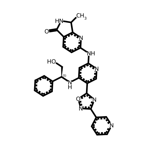 CC1NC(=O)c2ccc(Nc3cc(N[C@H](CO)c4ccccc4)c(-c4nc(-c5cccnc5)no4)cn3)nc21